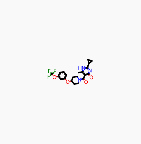 Cc1[nH]c(C2CC2)nc(=O)c1C(=O)N1CCC(Oc2cccc(OC(F)(F)F)c2)CC1